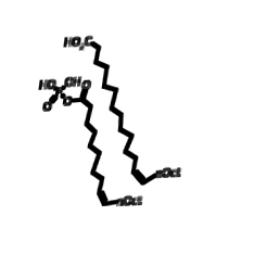 CCCCCCCC/C=C\CCCCCCCC(=O)OP(=O)(O)O.CCCCCCCC/C=C\CCCCCCCCCCCC(=O)O